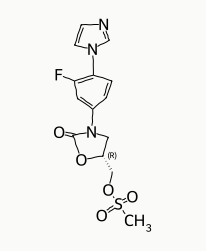 CS(=O)(=O)OC[C@H]1CN(c2ccc(-n3ccnc3)c(F)c2)C(=O)O1